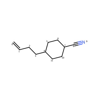 C=CCCC1CCC(C#N)CC1